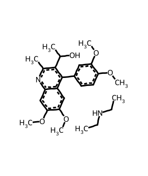 CCNCC.COc1ccc(-c2c(C(C)O)c(C)nc3cc(OC)c(OC)cc23)cc1OC